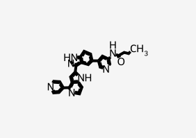 CCCC(=O)Nc1cncc(-c2ccc3[nH]nc(-c4cc5c(-c6ccncc6)nccc5[nH]4)c3c2)c1